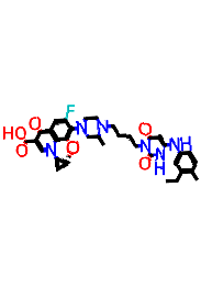 CCc1cc(Nc2cc(=O)n(CCCCN3CCN(c4c(F)cc5c(=O)c(C(=O)O)cn(C6CC6)c5c4OC)CC3C)c(=O)[nH]2)ccc1C